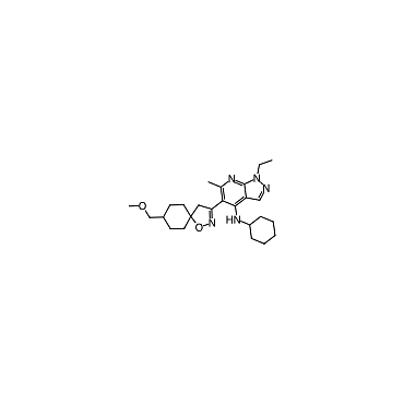 CCn1ncc2c(NC3CCCCC3)c(C3=NOC4(CCC(COC)CC4)C3)c(C)nc21